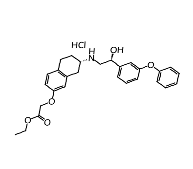 CCOC(=O)COc1ccc2c(c1)C[C@@H](NC[C@@H](O)c1cccc(Oc3ccccc3)c1)CC2.Cl